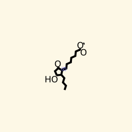 CCCCC1/C(=C/CCCCCC(=O)OC)C(=O)CC1O